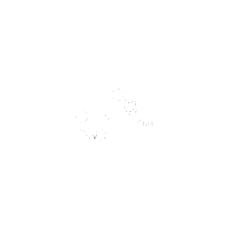 CNC(=O)C(CCN1CCC(c2ccccc2)(c2nnn(CC(N)=O)n2)CC1)(c1ccccc1)c1ccccc1